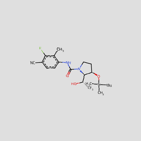 Cc1c(NC(=O)N2CC[C@@H](O[Si](C)(C)C(C)(C)C)[C@H]2[C@@H](O)C(F)(F)F)ccc(C#N)c1F